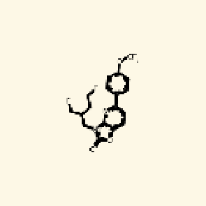 O=c1oc2ccc(-c3ccc(OC(F)(F)F)cc3)nc2n1CC(CF)CCF